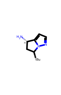 CC(C)(C)C1C[C@H](N)c2ccnn21